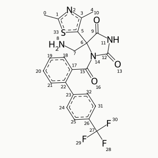 Cc1nc(C)c(C2(CN)C(=O)NC(=O)N2C(=O)c2ccccc2-c2ccc(C(F)(F)F)cc2)s1